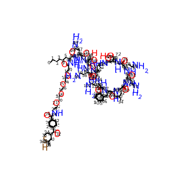 CCCCCC[C@H](NC(=O)CCOCCOCCOCCOCCNC(=O)c1ccc(C(=O)C2CC[SH](C)C(C)C2)cc1)C(=O)N[C@@H](CCN)C(=O)N[C@H](C(=O)N[C@@H](CCN)C(=O)N[C@H]1CCNC(=O)[C@H]([C@@H](C)O)NC(=O)[C@H](CCN)NC(=O)[C@H](CCN)NC(=O)[C@H](CC(C)C)NC(=O)[C@@H](Cc2ccccc2)NC(=O)[C@H](CCN)NC1=O)[C@@H](C)O